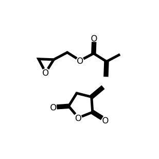 C=C(C)C(=O)OCC1CO1.C=C1CC(=O)OC1=O